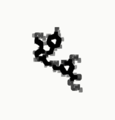 CC=Cc1cnc(CNCc2cc(C(=O)OC)cc(C)n2)n1Cc1ccc(F)cc1